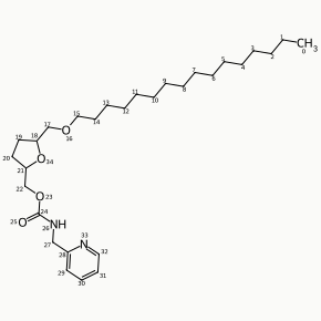 CCCCCCCCCCCCCCCCOCC1CCC(COC(=O)NCc2ccccn2)O1